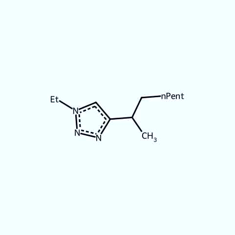 CCCCCCC(C)c1cn(CC)nn1